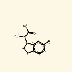 CN(C(=O)O)C1CCc2ccc(Br)cc21